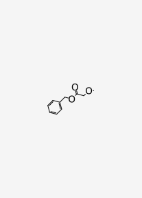 [O]CC(=O)OCc1ccccc1